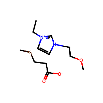 CC[n+]1ccn(CCOC)c1.CSCCC(=O)[O-]